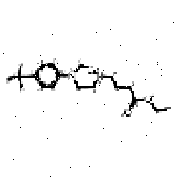 CCOC(=O)CCCN1CCN(c2ccc(C(C)(C)C)cc2)CC1